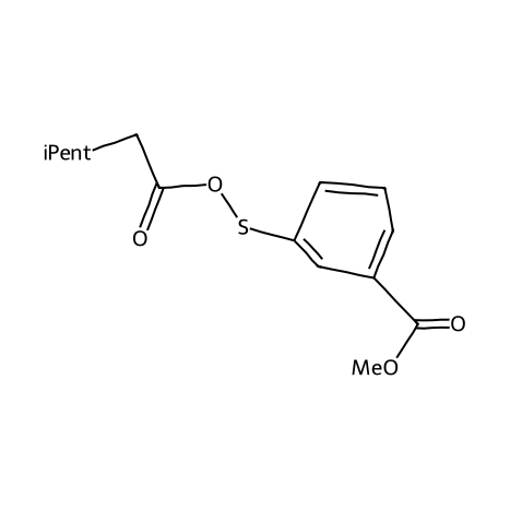 CCCC(C)CC(=O)OSc1cccc(C(=O)OC)c1